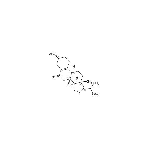 CC(=O)OC(C)[C@H]1CC[C@H]2[C@@H]3CC(=O)C4=C(CC[C@H](OC(C)=O)C4)[C@H]3CC[C@]12C